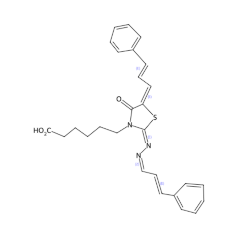 O=C(O)CCCCCN1C(=O)/C(=C\C=C\c2ccccc2)S/C1=N/N=C\C=C\c1ccccc1